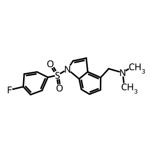 CN(C)Cc1cccc2c1ccn2S(=O)(=O)c1ccc(F)cc1